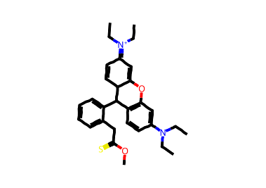 CCN(CC)c1ccc2c(c1)OC1=CC(=[N+](CC)CC)C=CC1C2c1ccccc1CC(=S)OC